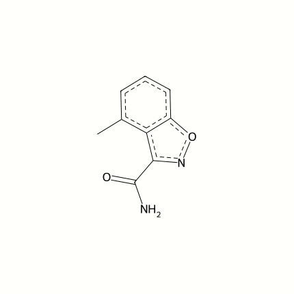 Cc1cccc2onc(C(N)=O)c12